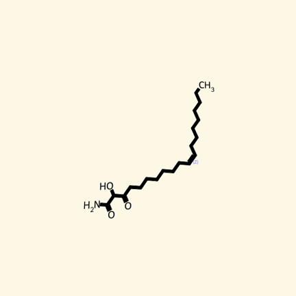 CCCCCCCC/C=C\CCCCCCCC(=O)C(O)C(N)=O